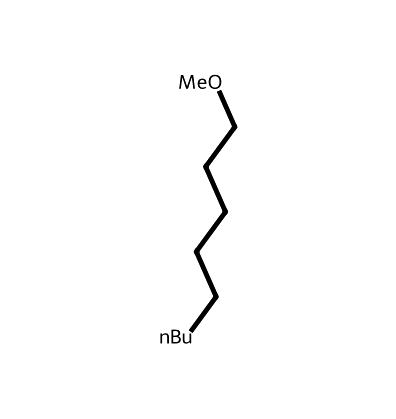 [CH]OCCCCCCCCC